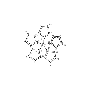 c1cn(P(n2ccnc2)(n2ccnc2)(n2ccnc2)n2ccnc2)cn1